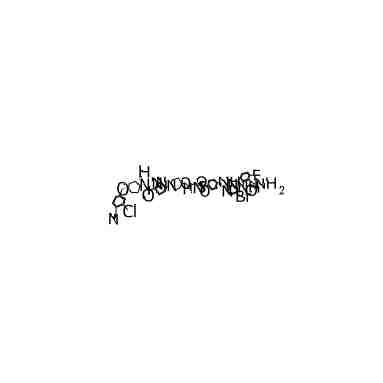 N#Cc1ccc(O[C@H]2CC[C@H](NC(=O)c3ccc(N4CCC(OCCNS(=O)(=O)c5ccc(Nc6ncc(Br)c(Nc7cccc(F)c7C(N)=O)n6)cc5)CC4)nn3)CC2)cc1Cl